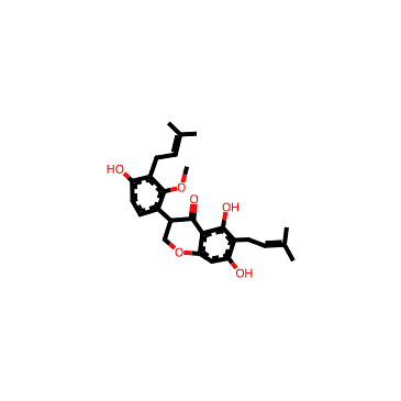 COc1c(C2COc3cc(O)c(CC=C(C)C)c(O)c3C2=O)ccc(O)c1CC=C(C)C